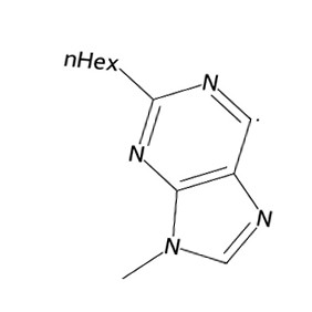 CCCCCCc1n[c]c2ncn(C)c2n1